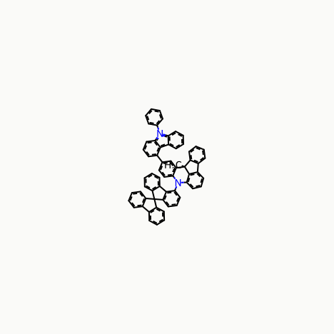 CC12c3ccccc3-c3cccc(c31)N(c1cccc3c1-c1ccccc1C31c3ccccc3-c3ccccc31)c1ccc(-c3cccc4c3c3ccccc3n4-c3ccccc3)cc12